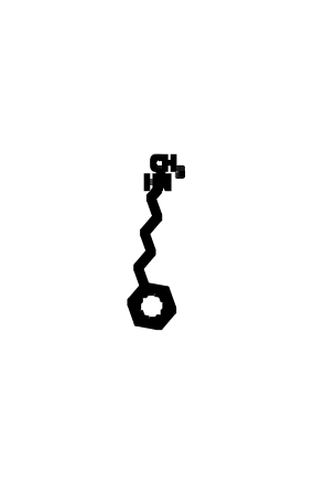 CNCCCCCc1ccccc1